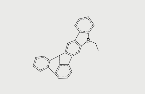 CCB1c2ccccc2-c2cc3c(cc21)-c1cccc2c1C3c1ccccc1-2